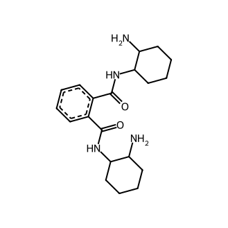 NC1CCCCC1NC(=O)c1ccccc1C(=O)NC1CCCCC1N